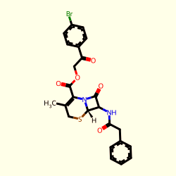 CC1=C(C(=O)OCC(=O)c2ccc(Br)cc2)N2C(=O)C(NC(=O)Cc3ccccc3)[C@@H]2SC1